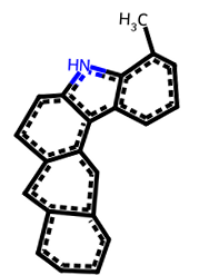 Cc1cccc2c1[nH]c1ccc3cc4ccccc4cc3c12